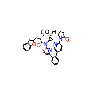 O=C(O)C[C@@H](Cc1cc2ccccc2o1)C(=O)N(c1nc(-c2ccccc2-c2ccc(N3CCCC3=O)nc2)cs1)C1CC1